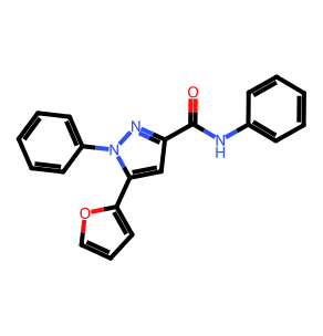 O=C(Nc1ccccc1)c1cc(-c2ccco2)n(-c2ccccc2)n1